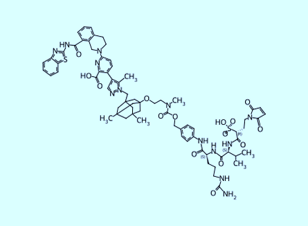 Cc1c(-c2ccc(N3CCc4cccc(C(=O)Nc5nc6ccccc6s5)c4C3)nc2C(=O)O)cnn1CC12CC3(C)CC(C)(C1)CC(OCCN(C)C(=O)OCc1ccc(NC(=O)[C@H](CCCNC(N)=O)NC(=O)[C@@H](NC(=O)[C@@H](CCN4C(=O)C=CC4=O)S(=O)(=O)O)C(C)C)cc1)(C3)C2